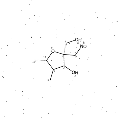 CC1C(O)[C@](CO)(CN=O)O[C@H]1C